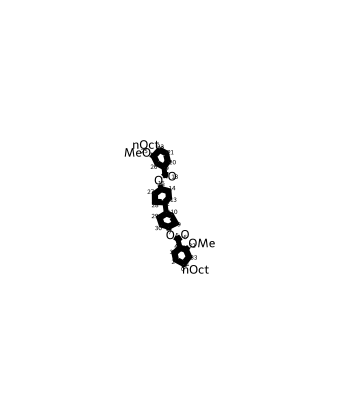 CCCCCCCCc1ccc(C(=O)Oc2ccc(-c3ccc(OC(=O)c4ccc(CCCCCCCC)c(OC)c4)cc3)cc2)c(OC)c1